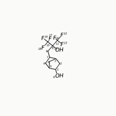 OC1CC2CC1CC2CC(O)(C(F)(F)F)C(F)(F)F